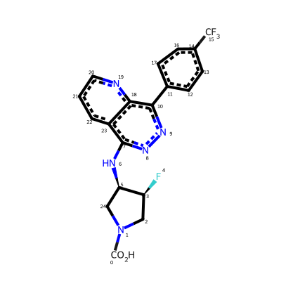 O=C(O)N1C[C@H](F)[C@H](Nc2nnc(-c3ccc(C(F)(F)F)cc3)c3ncccc23)C1